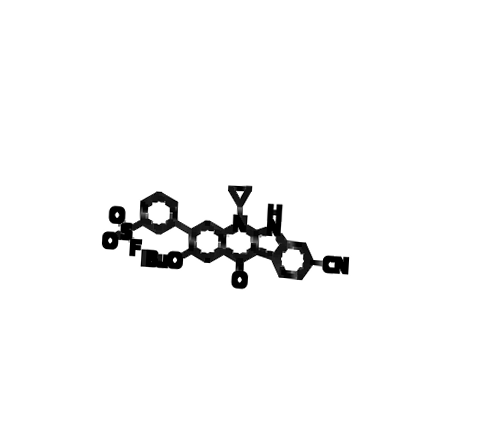 CC(C)COc1cc2c(=O)c3c4ccc(C#N)cc4[nH]c3n(C3CC3)c2cc1-c1cccc(S(=O)(=O)F)c1